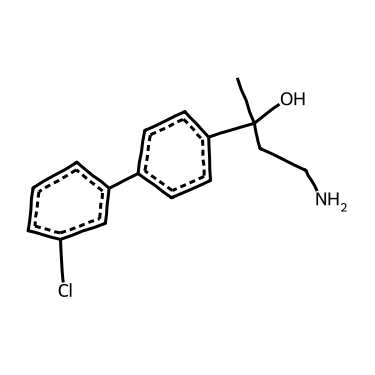 CC(O)(CCN)c1ccc(-c2cccc(Cl)c2)cc1